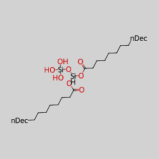 CCCCCCCCCCCCCCCCCC(=O)O[SiH](OC(=O)CCCCCCCCCCCCCCCCC)O[Si](O)(O)O